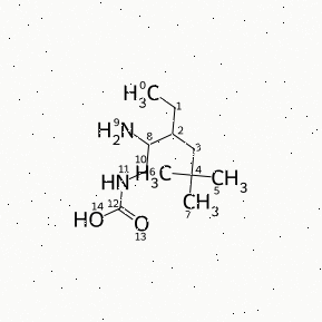 CCC(CC(C)(C)C)C(N)CNC(=O)O